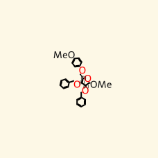 COc1ccc(OC[C@H]2OC(OC)[C@H](OCc3ccccc3)[C@@H]2OCc2ccccc2)cc1